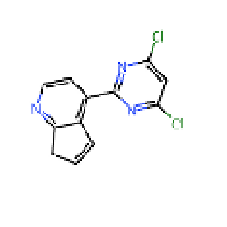 Clc1cc(Cl)nc(-c2ccnc3c2C=CC3)n1